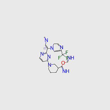 C=N/C=C(/c1nccc(N2CCCC(C(=N)OC=N)C2)n1)N1C=C(C(F)(F)F)N=CC1